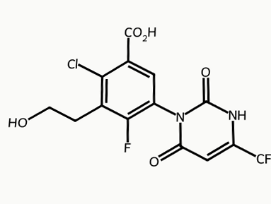 O=C(O)c1cc(-n2c(=O)cc(C(F)(F)F)[nH]c2=O)c(F)c(CCO)c1Cl